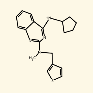 CN(Cc1ccsc1)c1nc(NC2CCCC2)c2ccccc2n1